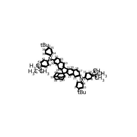 CC(C)(C)c1ccc(N(c2ccc([Si](C)(C)C)cc2)c2ccc3cc4c(cc3c2)C2(c3cc5cc(N(c6ccc(C(C)(C)C)cc6)c6ccc([Si](C)(C)C)cc6)ccc5cc3-4)C3CC4CC(C3)CC2C4)cc1